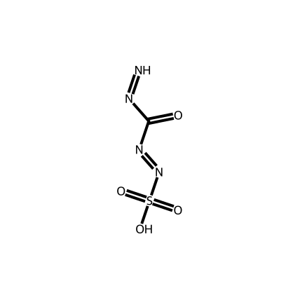 N=NC(=O)N=NS(=O)(=O)O